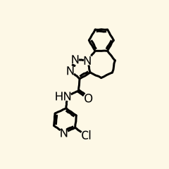 O=C(Nc1ccnc(Cl)c1)c1nnn2c1CCCc1ccccc1-2